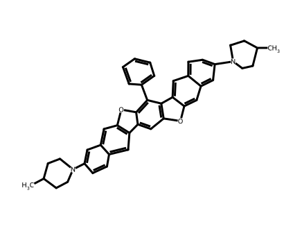 CC1CCN(c2ccc3cc4c(cc3c2)oc2c(-c3ccccc3)c3c(cc24)oc2cc4cc(N5CCC(C)CC5)ccc4cc23)CC1